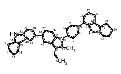 C=Cc1c(C)n(-c2ccc(-c3cccc4c3oc3ccccc34)cc2)c2ccc(-c3ccc4[nH]c5ccccc5c4c3)cc12